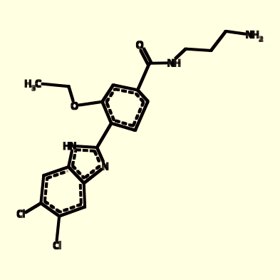 CCOc1cc(C(=O)NCCCN)ccc1-c1nc2cc(Cl)c(Cl)cc2[nH]1